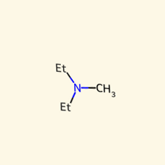 CCN(C)CC